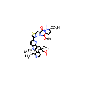 CCn1c(-c2cccnc2[C@H](C)OC)c(CC(C)(C)CO)c2nc(-c3csc(C[C@H](NC(=O)OC(C)(C)C)C(=O)N4CCC[C@@H](C(=O)O)N4)n3)ccc21